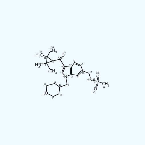 CC1(C)C(C(=O)c2cn(CC3CCOCC3)c3cc(CNS(C)(=O)=O)ccc23)C1(C)C